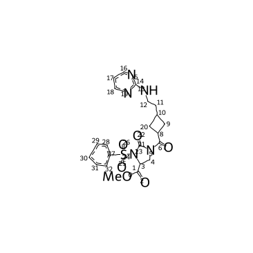 COC(=O)C1CN(C(=O)C2CC(CCNc3ncccn3)C2)C(=O)N1S(=O)(=O)c1ccccc1